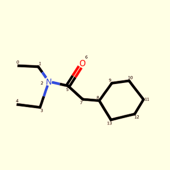 CCN(CC)C(=O)CC1CCCCC1